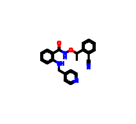 CC(ONC(=O)c1ccccc1NCc1ccncc1)c1ccccc1C#N